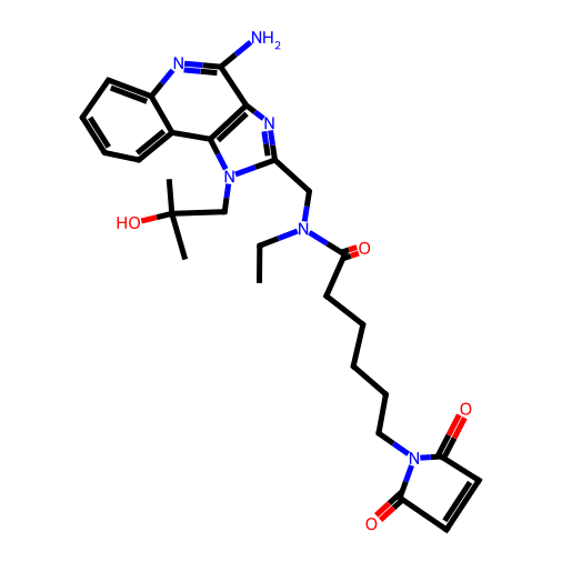 CCN(Cc1nc2c(N)nc3ccccc3c2n1CC(C)(C)O)C(=O)CCCCCN1C(=O)C=CC1=O